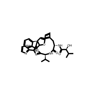 CC(C)[C@H](O)C(=O)N[C@H]1Cc2ccc3c(c2)[C@@]2(c4ccccc4NC2O3)c2oc(nc2-c2ncc[nH]2)[C@H](C(C)C)NC1=O